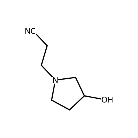 N#CCCN1CCC(O)C1